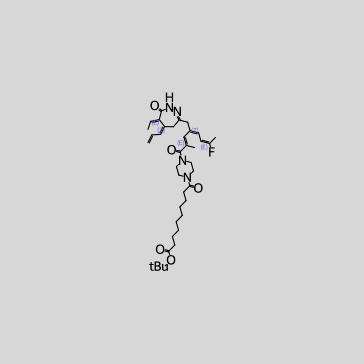 C=C/C=C1/CC(CC(=C/C=C(\C)F)/C=C(\C)C(=O)N2CCN(C(=O)CCCCCCCCC(=O)OC(C)(C)C)CC2)=NNC(=O)/C1=C/C